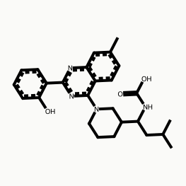 Cc1ccc2c(N3CCCC(C(CC(C)C)NC(=O)O)C3)nc(-c3ccccc3O)nc2c1